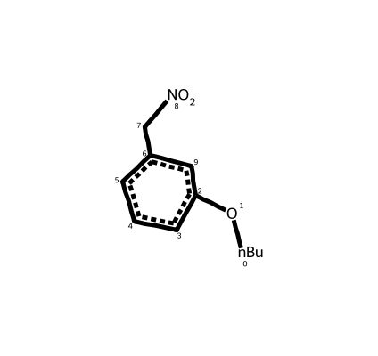 CCCCOc1cccc(C[N+](=O)[O-])c1